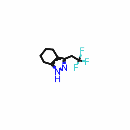 FC(F)(F)Cc1n[nH]c2c1CCCC2